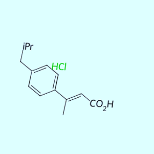 CC(=CC(=O)O)c1ccc(CC(C)C)cc1.Cl